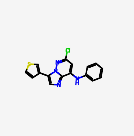 Clc1cc(Nc2ccccc2)c2ncc(-c3ccsc3)n2n1